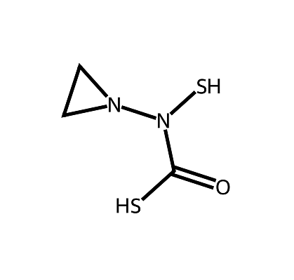 O=C(S)N(S)N1CC1